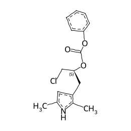 Cc1cc(C[C@@H](CCl)OC(=O)Oc2ccccc2)c(C)[nH]1